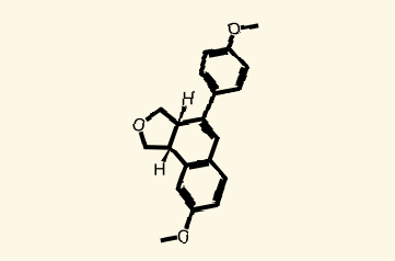 COc1ccc(C2=Cc3ccc(OC)cc3[C@@H]3COC[C@H]23)cc1